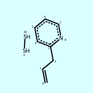 C=CCc1ccccn1.SS